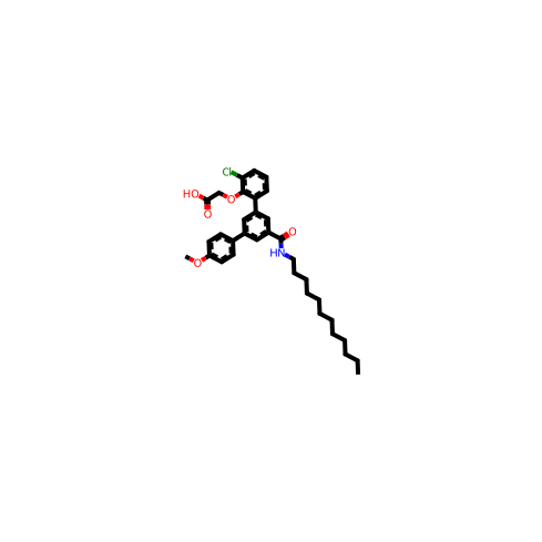 CCCCCCCCCCCCNC(=O)c1cc(-c2ccc(OC)cc2)cc(-c2cccc(Cl)c2OCC(=O)O)c1